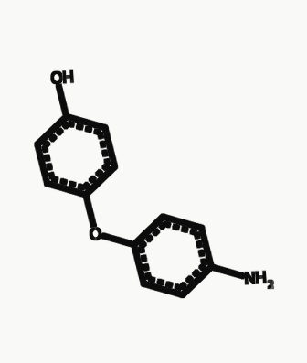 Nc1ccc(Oc2ccc(O)cc2)cc1